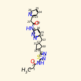 CCC(=O)Nc1nnc(C2CC[C@@H](Cc3ccc(NC(=O)Cc4ccccn4)nn3)C2)s1